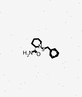 NC(=O)[C@@H]1CCCCN1SCc1ccccc1